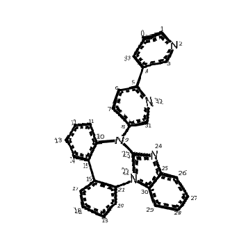 c1cncc(-c2ccc(N3c4ccccc4-c4ccccc4-n4c3nc3ccccc34)cn2)c1